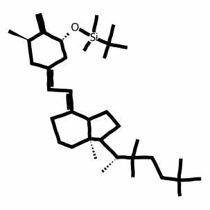 C=C1[C@H](C)C/C(=C/C=C2\CCC[C@@]3(C)C2CCC3[C@@H](C)C(C)(C)CCC(C)(C)C)C[C@H]1O[Si](C)(C)C(C)(C)C